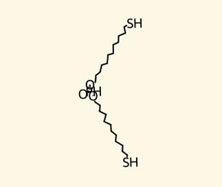 O=[PH](OCCCCCCCCCCCCS)OCCCCCCCCCCCCS